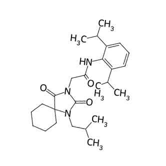 CC(C)CN1C(=O)N(CC(=O)Nc2c(C(C)C)cccc2C(C)C)C(=O)C12CCCCC2